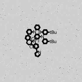 CC(C)(C)c1cccc(N2c3cc(C(C)(C)C)ccc3B3c4ccccc4N(c4ccccc4)c4cc(N5c6ccc(-c7ccccn7)cc6C6(C)CCc7ccccc7C56C)cc2c43)c1